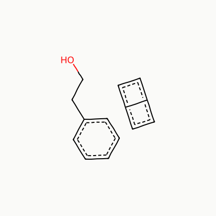 OCCc1ccccc1.c1cc2ccc1-2